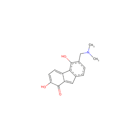 CN(C)Cc1ccc2c(c1O)C1=CC=C(O)C(=O)C1=C2